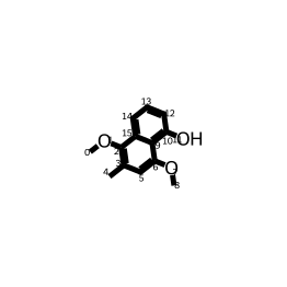 COc1c(C)cc(OC)c2c(O)cccc12